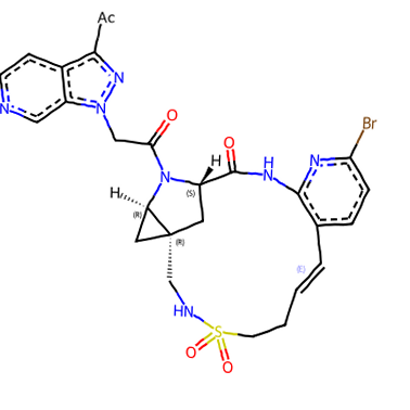 CC(=O)c1nn(CC(=O)N2[C@H]3C[C@@]4(CNS(=O)(=O)CC/C=C/c5ccc(Br)nc5NC3=O)C[C@@H]24)c2cnccc12